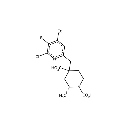 CCc1cc(CC2(C(=O)O)CCN(C(=O)O)[C@H](C)C2)nc(Cl)c1F